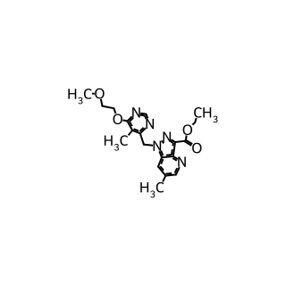 CCOC(=O)c1nn(Cc2ncnc(OCCOC)c2C)c2cc(C)cnc12